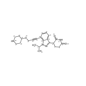 CC(C)n1nc(C2CCC(=O)NC2=O)c2cccc(C#CCOC3CCNCC3)c21